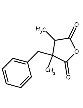 CC1C(=O)OC(=O)C1(C)Cc1ccccc1